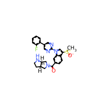 C[S+]([O-])c1cn(-c2ncc(-c3ccccc3F)cn2)c2cc(C(=O)N3C[C@H]4CCN[C@H]4C3)ccc12